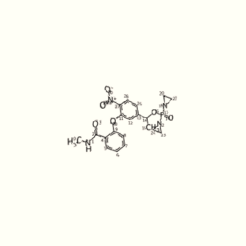 CNC(=O)c1ccccc1Oc1cc(C(C)OP(=O)(N2CC2)N2CC2)ccc1[N+](=O)[O-]